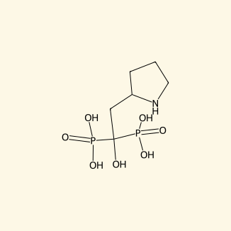 O=P(O)(O)C(O)(CC1CCCN1)P(=O)(O)O